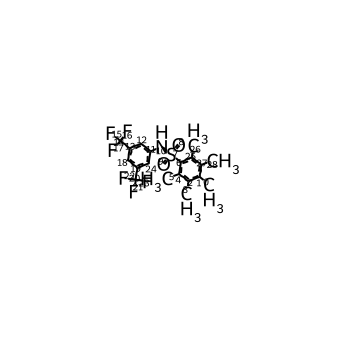 Cc1c(C)c(C)c(S(=O)(=O)Nc2cc(C(F)(F)F)cc(C(F)(F)F)c2)c(C)c1C